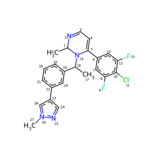 CC1N=CC=C(c2cc(F)c(Cl)c(F)c2)N1C(C)c1cccc(-c2cnn(C)c2)c1